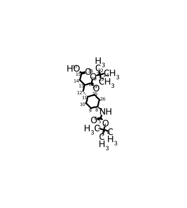 CC(C)(C)OC(=O)N[C@H]1CC[C@H](CC(CC(=O)O)C(=O)OC(C)(C)C)CC1